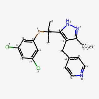 CCOC(=O)c1n[nH]c(C(C)(C)Sc2cc(Cl)cc(Cl)c2)c1Cc1ccncc1